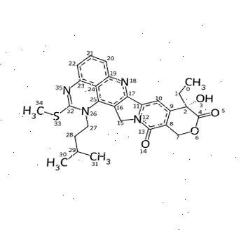 CC[C@@]1(O)C(=O)OCc2c1cc1n(c2=O)Cc2c-1nc1cccc3c1c2N(CCC(C)C)C(SC)=N3